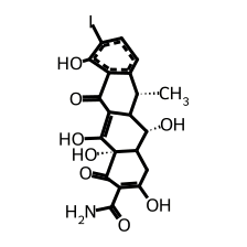 C[C@H]1c2ccc(I)c(O)c2C(=O)C2=C(O)[C@]3(O)C(=O)C(C(N)=O)=C(O)CC3[C@@H](O)C21